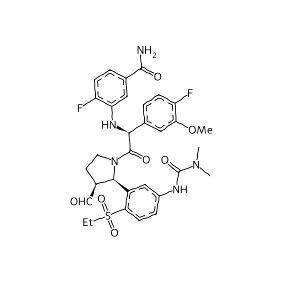 CCS(=O)(=O)c1ccc(NC(=O)N(C)C)cc1[C@H]1[C@@H](C=O)CCN1C(=O)[C@@H](Nc1cc(C(N)=O)ccc1F)c1ccc(F)c(OC)c1